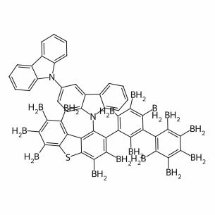 Bc1c(B)c(B)c(-c2c(B)c(B)c(B)c(-c3c(B)c(B)c4sc5c(B)c(B)c(B)c(B)c5c4c3-n3c4ccccc4c4cc(-n5c6ccccc6c6ccccc65)ccc43)c2B)c(B)c1B